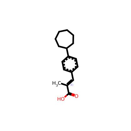 C/C(=C\c1ccc(C2CCCCCC2)cc1)C(=O)O